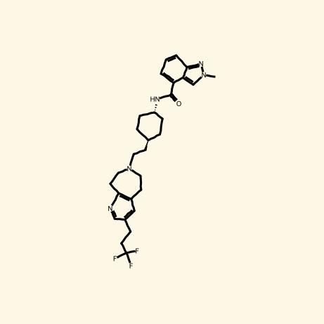 Cn1cc2c(C(=O)N[C@H]3CC[C@H](CCN4CCc5cc(CCC(F)(F)F)cnc5CC4)CC3)cccc2n1